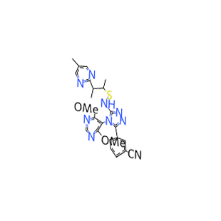 COc1ncnc(OC)c1-n1c(NSC(C)C(C)c2ncc(C)cn2)nnc1-c1cccc(C#N)c1